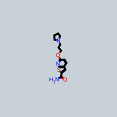 NC(=O)c1cc2ccc(OCCCN3CCCC3)nc2s1